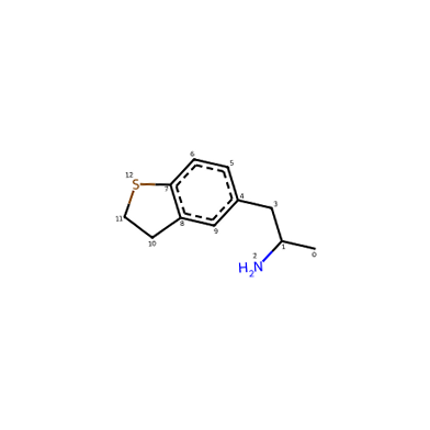 CC(N)Cc1ccc2c(c1)CCS2